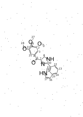 COc1cc(C(=O)C2CNC(c3cccc4cc[nH]c34)=N2)cc(OC)c1OC